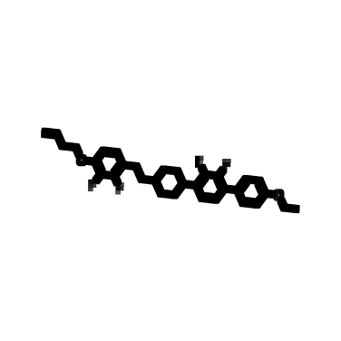 C=CCCOc1ccc(CCC2CCC(c3ccc(-c4ccc(OCC)cc4)c(F)c3F)CC2)c(F)c1F